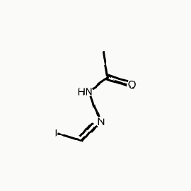 CC(=O)N/N=C\I